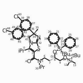 CC(C)C1=C(C(=O)N(CC[C@@H](CO[Si](C)(C)C(C)(C)C)O[Si](c2ccccc2)(c2ccccc2)C(C)(C)C)C(C)C)SC2=N[C@@](C)(c3ccc(Cl)cc3)[C@@H](c3ccc(Cl)cc3)N21